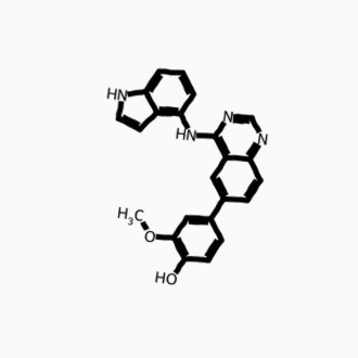 COc1cc(-c2ccc3ncnc(Nc4cccc5[nH]ccc45)c3c2)ccc1O